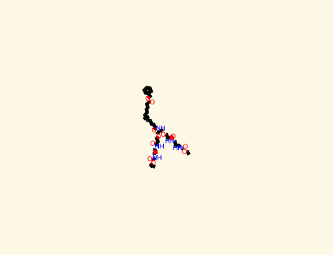 CCOC(=O)NCCCNC(=O)CCOCC(COCCC(=O)NCCCNC(=O)OC(C)(C)C)NC(=O)CCCCC(C)(C)CCCCCC(=O)OCc1ccccc1